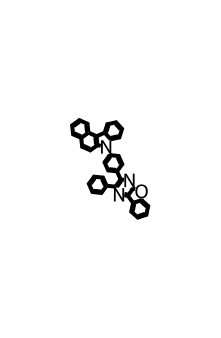 c1ccc(-c2nc3c(nc2-c2ccc(-n4c5ccccc5c5c6ccccc6ccc54)cc2)oc2ccccc23)cc1